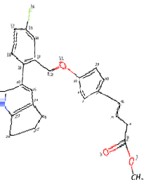 COC(=O)CCCc1ccc(OCc2cc(F)ccc2-c2cnc3c(c2)CCC3)cc1